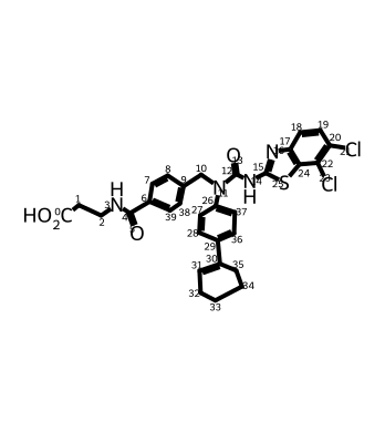 O=C(O)CCNC(=O)c1ccc(CN(C(=O)Nc2nc3ccc(Cl)c(Cl)c3s2)c2ccc(C3=CCCCC3)cc2)cc1